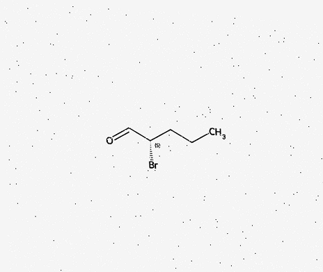 CCC[C@H](Br)C=O